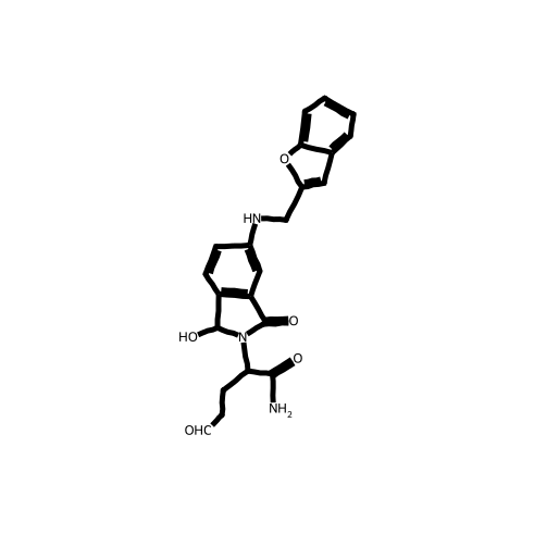 NC(=O)C(CCC=O)N1C(=O)c2cc(NCc3cc4ccccc4o3)ccc2C1O